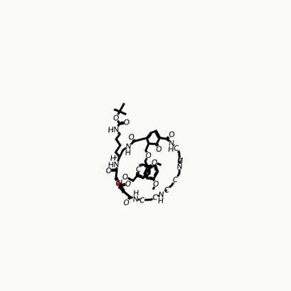 COc1ccc(COCC2C(=O)C3=CC=C2C(=O)NC[C@H](CCCCNC(=O)OC(C)(C)C)NC(=O)c2ccc(c(=O)n2OCc2ccc(OC)cc2)C(=O)NCCCNCCCCNCCCNC3=O)cc1